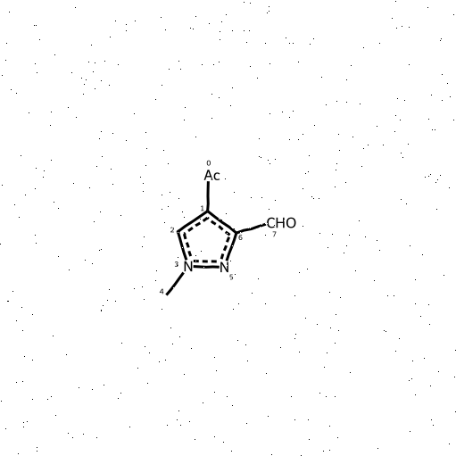 CC(=O)c1cn(C)nc1C=O